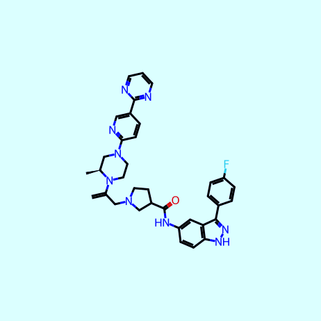 C=C(CN1CCC(C(=O)Nc2ccc3[nH]nc(-c4ccc(F)cc4)c3c2)C1)N1CCN(c2ccc(-c3ncccn3)cn2)C[C@@H]1C